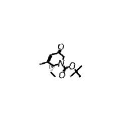 CC[C@@H]1C(C)=CC(=O)CN1C(=O)OC(C)(C)C